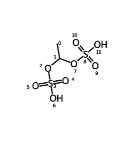 CC(OS(=O)(=O)O)OS(=O)(=O)O